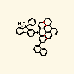 CC1(c2ccccc2)c2ccccc2-c2ccc(N(c3cccc(-c4cccc5ccccc45)c3)c3ccccc3-c3cccc4cccc(C5CCCCC5)c34)cc21